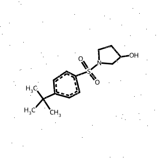 CC(C)(C)c1ccc(S(=O)(=O)N2CCC(O)C2)cc1